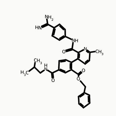 Cc1ccc(-c2ccc(C(=O)NCC(C)C)cc2C(=O)OCc2ccccc2)c(C(=O)Nc2ccc(C(=N)N)cc2)n1